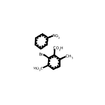 Cc1ccc(C(=O)O)c(Br)c1C(=O)O.O=[N+]([O-])c1ccccc1